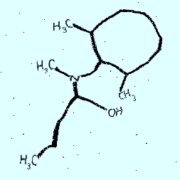 CCCC(O)N(C)C1C(C)CCCCC1C